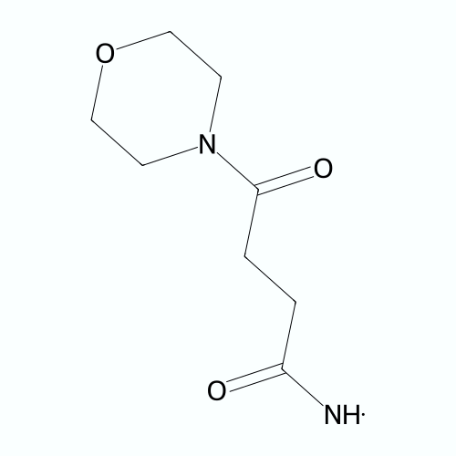 [NH]C(=O)CCC(=O)N1CCOCC1